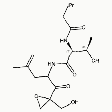 C=C(C)CC(NC(=O)[C@@H](NC(=O)CC(C)C)[C@@H](C)O)C(=O)C1(CO)CO1